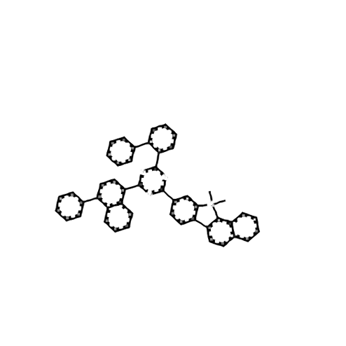 C[Si]1(C)c2cc(-c3nc(-c4ccccc4-c4ccccc4)nc(-c4ccc(-c5ccccc5)c5ccccc45)n3)ccc2-c2ccc3ccccc3c21